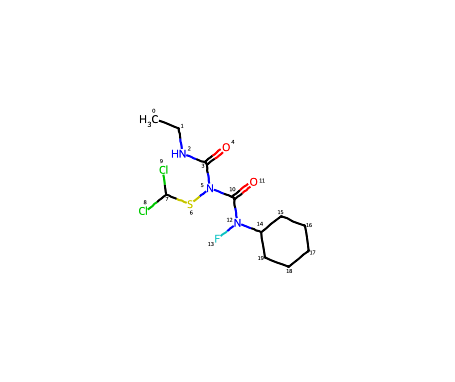 CCNC(=O)N(SC(Cl)Cl)C(=O)N(F)C1CCCCC1